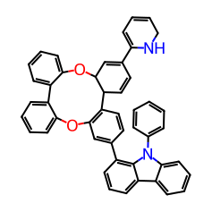 C1=CCNC(C2=CC3Oc4ccccc4-c4ccccc4Oc4cc(-c5cccc6c7ccccc7n(-c7ccccc7)c56)ccc4C3C=C2)=C1